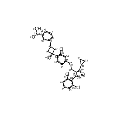 C[S+]([O-])c1cccc(C2CC(O)(c3ccc(OCc4c(-c5c(Cl)cccc5Cl)noc4C4CC4)cc3Cl)C2)c1